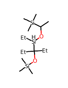 CC[SiH](OC(C)[Si](C)(C)C)C(CC)(CC)O[Si](C)(C)C